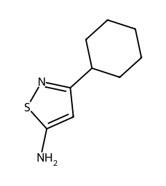 Nc1cc(C2CCCCC2)ns1